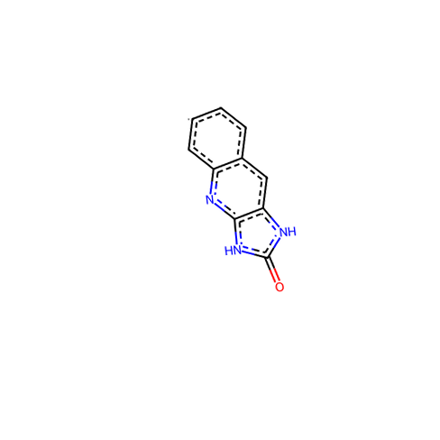 O=c1[nH]c2cc3cc[c]cc3nc2[nH]1